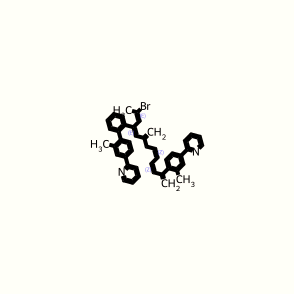 C=C(/C=C(\C=C(/C)Br)c1ccccc1-c1ccc(-c2ccccn2)cc1C)C/C=C\C=C/C(=C)c1ccc(-c2ccccn2)cc1C